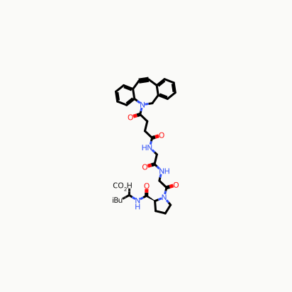 CCC(C)C(NC(=O)[C@@H]1CCCN1C(=O)CNC(=O)CNC(=O)CCC(=O)N1Cc2ccccc2C#Cc2ccccc21)C(=O)O